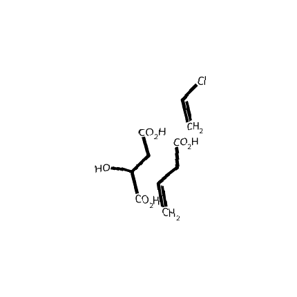 C=CCC(=O)O.C=CCl.O=C(O)CC(O)C(=O)O